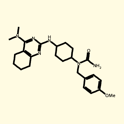 COc1ccc(CN(C(N)=O)C2CCC(Nc3nc4c(c(N(C)C)n3)CCCC4)CC2)cc1